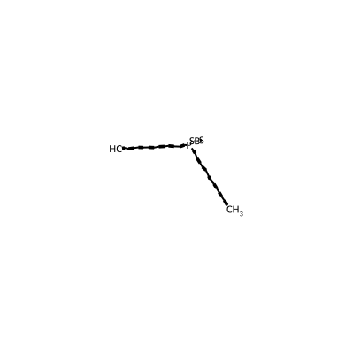 C#CC#CC#CC#CC#CC#CC#CP(C#CC#CC#CC#CC#CC#CC#CC)SB=S